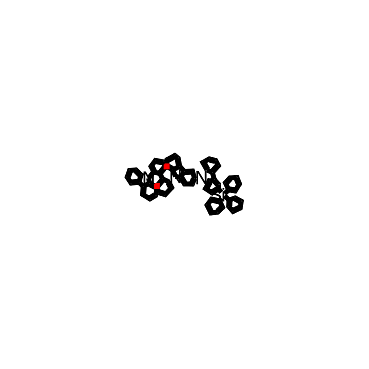 c1ccc([Si](c2ccccc2)(c2ccccc2)c2ccc3c(c2)c2ccccc2n3-c2ccc3c(c2)c2ccccc2n3-c2ccccc2-c2ccccc2-n2c3ccccc3c3ccccc32)cc1